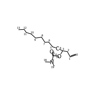 C=CCC(CCCCCCCCCC)OC(=O)N(C)C